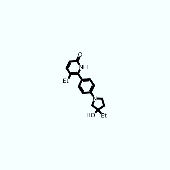 CCc1ccc(=O)[nH]c1-c1ccc(N2CCC(O)(CC)C2)cc1